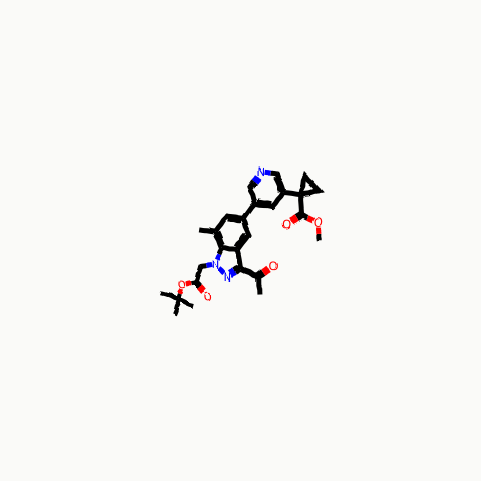 COC(=O)C1(c2cncc(-c3cc(C)c4c(c3)c(C(C)=O)nn4CC(=O)OC(C)(C)C)c2)CC1